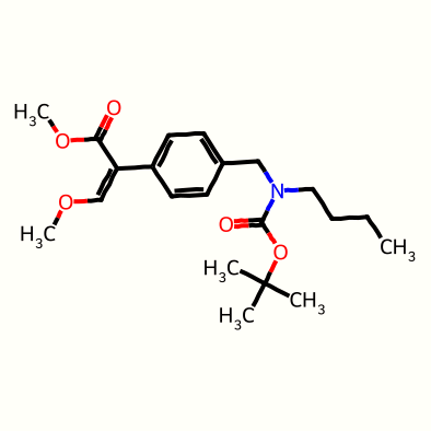 CCCCN(Cc1ccc(/C(=C/OC)C(=O)OC)cc1)C(=O)OC(C)(C)C